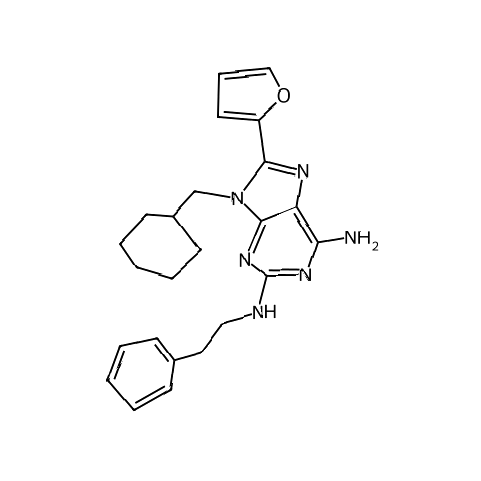 Nc1nc(NCCc2ccccc2)nc2c1nc(-c1ccco1)n2CC1CCCCC1